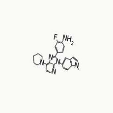 Cn1ccc2cc(-n3c(-c4ccc(N)c(F)c4)nc4c(N5CCCCC5)ccnc43)ccc21